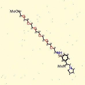 CNC(CN1CCCC1)c1cccc(SNCCOCCOCCOCCOCCOCCOCCOC)c1